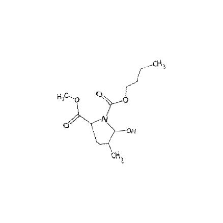 CCCCOC(=O)N1C(C(=O)OC)CC(C)C1O